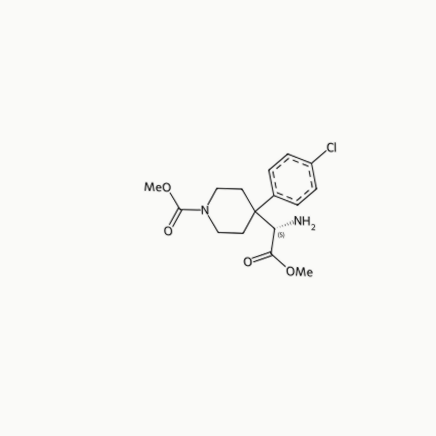 COC(=O)[C@@H](N)C1(c2ccc(Cl)cc2)CCN(C(=O)OC)CC1